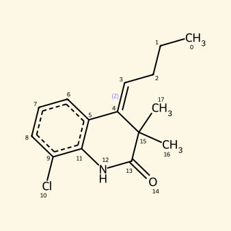 CCC/C=C1/c2cccc(Cl)c2NC(=O)C1(C)C